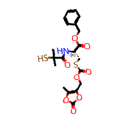 Cc1oc(=O)oc1COC(=O)SC[C@H](NC(=O)C(C)(C)S)C(=O)OCc1ccccc1